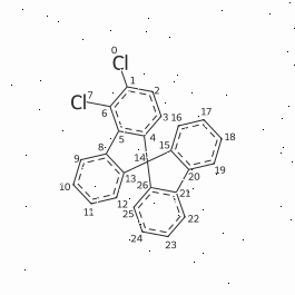 Clc1ccc2c(c1Cl)-c1ccccc1C21c2ccccc2-c2ccccc21